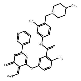 CN/C=C1\C(=N)N=C(c2cccnc2)N=C1Oc1ccc(C)c(C(=O)Nc2ccc(CN3CCN(C)CC3)c(C(F)(F)F)c2)c1